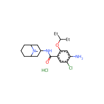 CCC(CC)Oc1cc(N)c(Cl)cc1C(=O)NC1CC2CCCC(C1)N2C.Cl